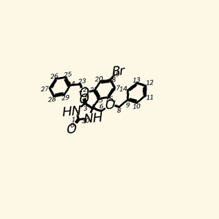 O=C1NC(=O)C(COCc2ccccc2)(c2ccc(Br)cc2OCc2ccccc2)N1